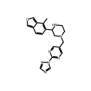 Cc1c(C2CN(Cc3cnc(-n4cncn4)nc3)CCN2)ccc2cocc12